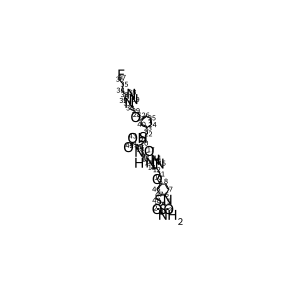 NS(=O)(=O)c1nc2ccc(OCc3cn(CC(=O)N[C@H](CSCc4cccc(OCCn5cc(CCCF)nn5)c4)C(=O)O)nn3)cc2s1